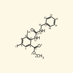 COC(=O)c1cc(I)cc(I)c1NC(=O)NCc1ccccc1